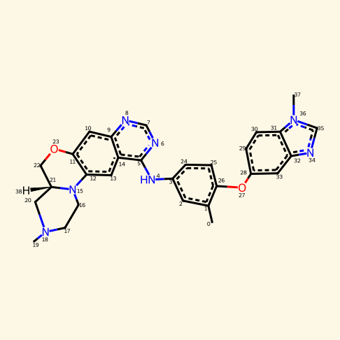 Cc1cc(Nc2ncnc3cc4c(cc23)N2CCN(C)C[C@@H]2CO4)ccc1Oc1ccc2c(c1)ncn2C